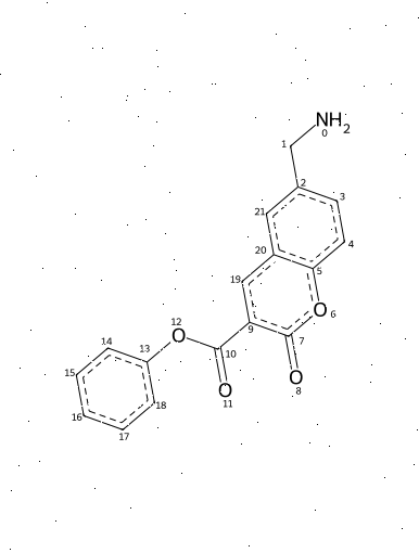 NCc1ccc2oc(=O)c(C(=O)Oc3ccccc3)cc2c1